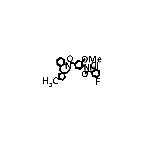 C=C1CC[C@@]2(CCN(C(=O)c3ccc(NC(=O)c4cc(F)ccc4Cl)c(OC)c3)c3ccccc3C2)C1